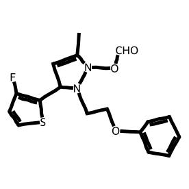 CC1=CC(c2sccc2F)N(CCOc2ccccc2)N1OC=O